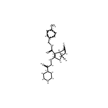 O=C(OCc1ccc([N+](=O)[O-])cc1)C1=C(SCC(=O)N2CCOCC2)S[C@H]2CC(=O)N12